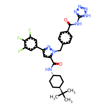 CC(C)(C)[C@H]1CC[C@H](NC(=O)c2cc(-c3cc(F)c(F)c(F)c3)nn2Cc2ccc(C(=O)Nc3nnn[nH]3)cc2)CC1